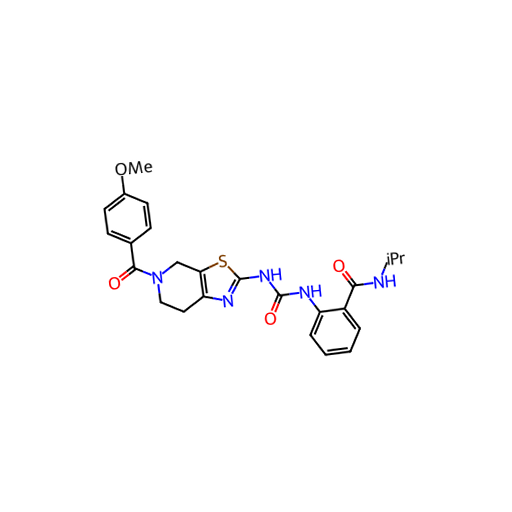 COc1ccc(C(=O)N2CCc3nc(NC(=O)Nc4ccccc4C(=O)NC(C)C)sc3C2)cc1